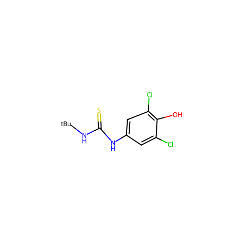 CC(C)(C)NC(=S)Nc1cc(Cl)c(O)c(Cl)c1